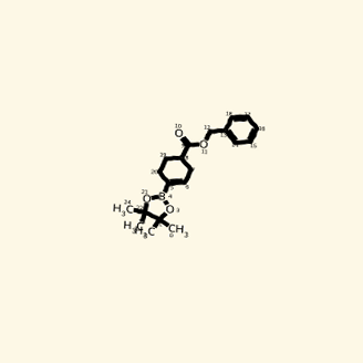 CC1(C)OB(C2=CCC(C(=O)OCc3ccccc3)CC2)OC1(C)C